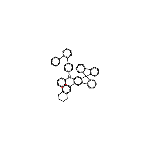 c1ccc(-c2ccccc2-c2ccc(N(c3ccccc3)c3cc4c(cc3-c3ccc5c(c3)CCCC5)-c3ccccc3C43c4ccccc4-c4ccccc43)cc2)cc1